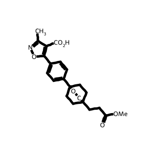 COC(=O)CCC12CCC(c3ccc(-c4onc(C)c4C(=O)O)cc3)(CC1)OC2